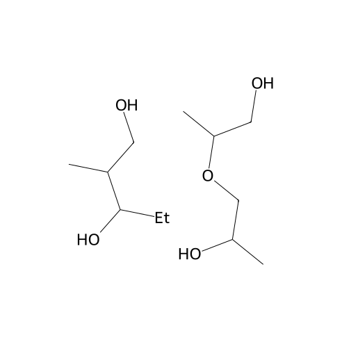 CC(O)COC(C)CO.CCC(O)C(C)CO